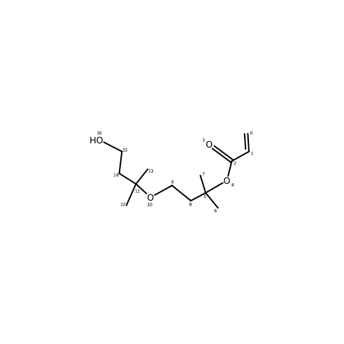 C=CC(=O)OC(C)(C)CCOC(C)(C)CCO